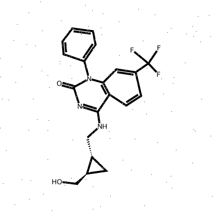 O=c1nc(NC[C@@H]2C[C@H]2CO)c2ccc(C(F)(F)F)cc2n1-c1ccccc1